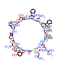 CCCC[C@H]1C(=O)N(C)[C@@H](CCCC)C(=O)N[C@@H](CCCNC(=N)N)C(=O)N[C@H](C(=O)NCC(N)=O)CSCC(=O)N[C@@H](Cc2ccc(O)cc2)C(=O)N(C)[C@@H](C)C(=O)N[C@@H](CC(N)=O)C(=O)N2CCC[C@H]2C(=O)N[C@@H](Cc2cnc[nH]2)C(=O)N[C@@H](CC(C)C)C(=O)N2C[C@H](O)C[C@H]2C(=O)N[C@@H](Cc2c[nH]c3ccccc23)C(=O)N[C@@H](CCN)C(=O)N[C@@H](Cc2c[nH]c3ccccc23)C(=O)N1C